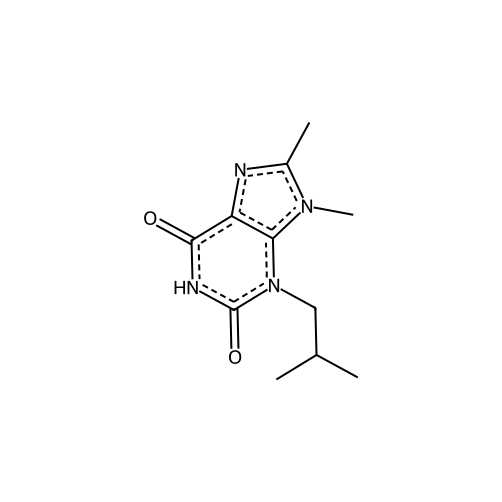 Cc1nc2c(=O)[nH]c(=O)n(CC(C)C)c2n1C